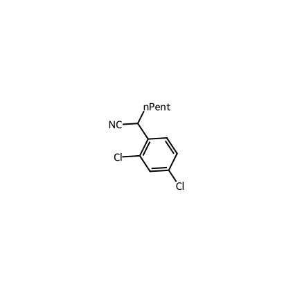 CCCCCC(C#N)c1ccc(Cl)cc1Cl